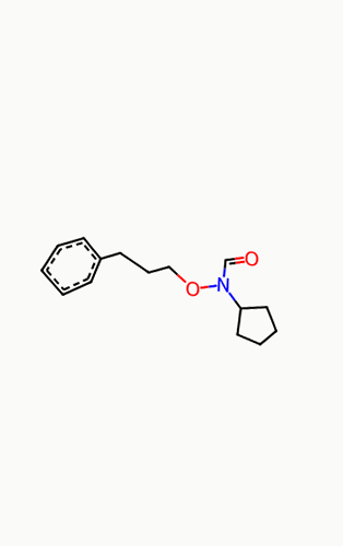 O=CN(OCCCc1ccccc1)C1CCCC1